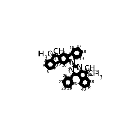 CC1(C)c2ccccc2-c2cc3c(cc21)c1ccccc1n3-c1nc(-c2ccccc2)c2c(n1)C(C)(C)c1ccccc1-2